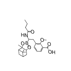 CCCC(=O)NC(Cc1cccc(C(=O)O)c1OC)B1OC2CC3CC(C3(C)C)C2(C)O1